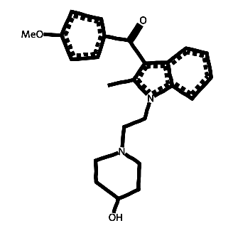 COc1ccc(C(=O)c2c(C)n(CCN3CCC(O)CC3)c3ccccc23)cc1